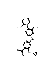 CCOc1cc(Nc2ncc(C(N)=O)c(NC3CC3)n2)ccc1N1CCNC[C@@H]1C